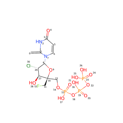 C=C1NC(=O)C=CN1[C@@H]1O[C@](CF)(COP(=O)(O)OP(=O)(O)OP(=O)(O)O)[C@@H](O)[C@@H]1Cl